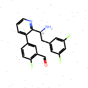 N[C@@H](Cc1cc(F)cc(F)c1)c1ncccc1-c1ccc(F)c(C=O)c1